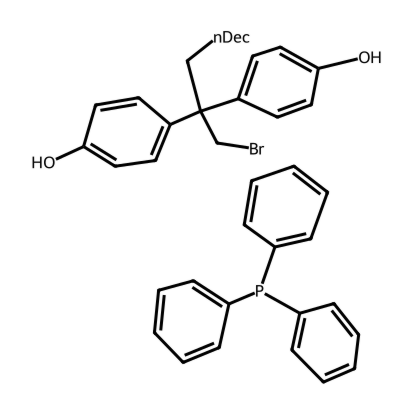 CCCCCCCCCCCC(CBr)(c1ccc(O)cc1)c1ccc(O)cc1.c1ccc(P(c2ccccc2)c2ccccc2)cc1